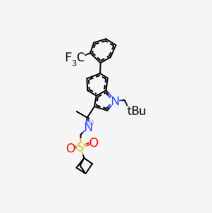 C/C(=N\CS(=O)(=O)C12CC(C1)C2)c1cn(CC(C)(C)C)c2cc(-c3ccccc3C(F)(F)F)ccc12